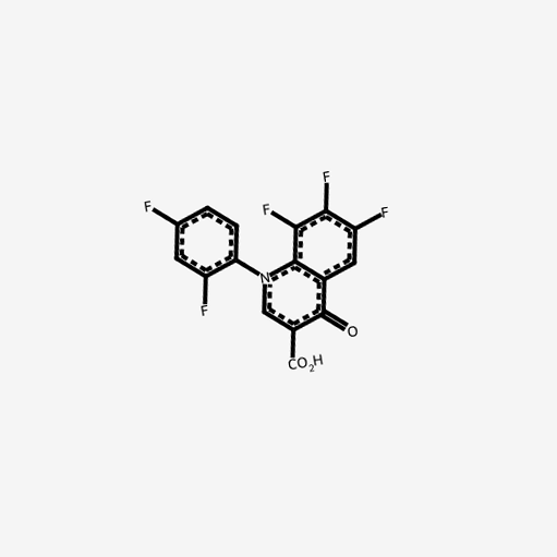 O=C(O)c1cn(-c2ccc(F)cc2F)c2c(F)c(F)c(F)cc2c1=O